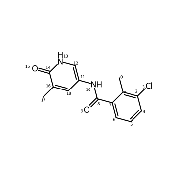 Cc1c(Cl)cccc1C(=O)Nc1c[nH]c(=O)c(C)c1